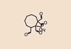 O=CC1CCCCCC(C=O)(C(=O)O)C1(C=O)C=O